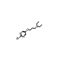 CCN(CC)CCCOc1cnc(Br)nc1